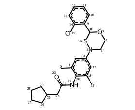 Cc1cc(N2CCOC(c3ccccc3Cl)S2)cc(C)c1NC(=O)CC1CCCC1